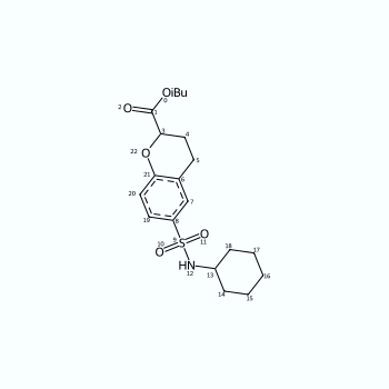 CC(C)COC(=O)C1CCc2cc(S(=O)(=O)NC3CCCCC3)ccc2O1